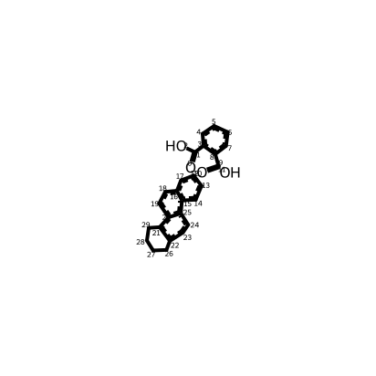 O=C(O)c1ccccc1C(=O)O.c1ccc2c(c1)ccc1c3c(ccc12)CCCC3